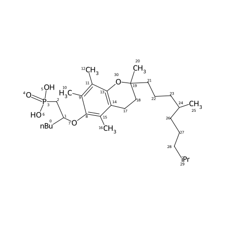 CCCCC(CP(=O)(O)O)Oc1c(C)c(C)c2c(c1C)CCC(C)(CCCC(C)CCCC(C)C)O2